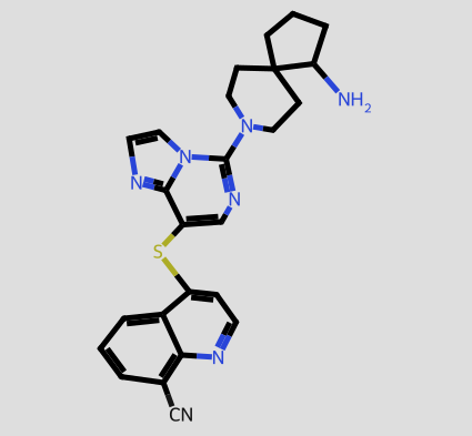 N#Cc1cccc2c(Sc3cnc(N4CCC5(CCCC5N)CC4)n4ccnc34)ccnc12